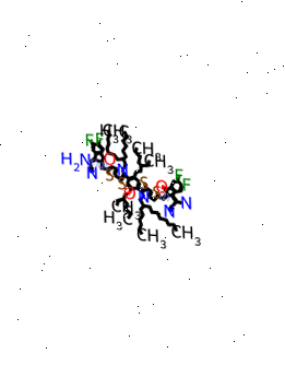 CCCCCCCCC(CCCCCC)Cn1c2c(c3sc4c(CCC(CC)CCCC)c5c(sc6c7sc(/C=C8\C(=O)c9cc(F)c(F)cc9\C8=C(/N)C#N)cc7n(CC(CCCCCC)CCCCCCCC)c65)c(OCC(CC)CCCC)c4c31)SC(/C=C1\C(=O)c3cc(F)c(F)cc3C1=C(C#N)C#N)C2